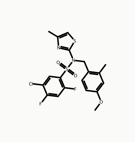 COc1ccc(CN(c2nc(C)cs2)S(=O)(=O)c2cc(Cl)c(F)cc2F)c(C)c1